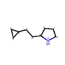 [CH](CC1CC1)C1CCCN1